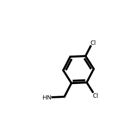 [NH]Cc1ccc(Cl)cc1Cl